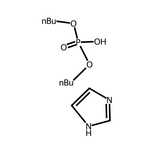 CCCCOP(=O)(O)OCCCC.c1c[nH]cn1